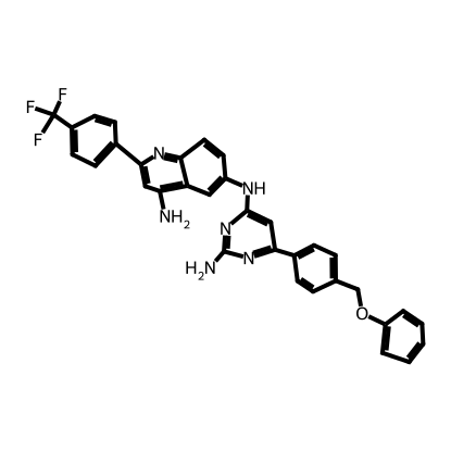 Nc1nc(Nc2ccc3nc(-c4ccc(C(F)(F)F)cc4)cc(N)c3c2)cc(-c2ccc(COc3ccccc3)cc2)n1